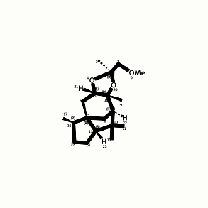 COC[C@]1(C)O[C@H]2C[C@@]34C[C@H](C(C)(C)[C@@H]3CC[C@H]4C)[C@@]2(C)O1